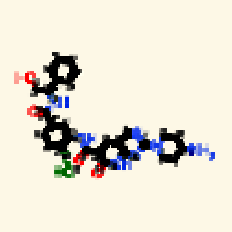 Cl.NC1CCN(c2ncc3cc(C(=O)Nc4cc(C(=O)NC(CO)c5ccccc5)ccc4Cl)c(=O)[nH]c3n2)CC1